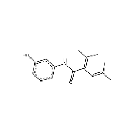 CC(C)=CC(C(=O)Nc1cccc(O)c1)=C(C)C